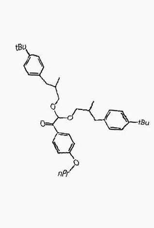 CCCOc1ccc(C(=O)C(OCC(C)Cc2ccc(C(C)(C)C)cc2)OCC(C)Cc2ccc(C(C)(C)C)cc2)cc1